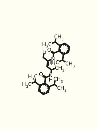 [Li][CH2]C(=CC(C)NC(=O)c1c(C(C)C)cccc1C(C)C)NC(=O)c1c(C(C)C)cccc1C(C)C